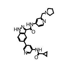 O=C(Nc1ccnc(CN2CCCC2)c1)c1n[nH]c2ccc(-c3cncc(NC(=O)C4CC4)c3)cc12